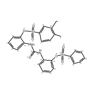 Cc1ccc(S(=O)(=O)Oc2ccccc2NC(=O)Nc2ccccc2OS(=O)(=O)c2ccccc2)cc1C